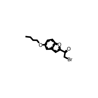 CCCCOc1ccc2oc(C(=O)CBr)cc2c1